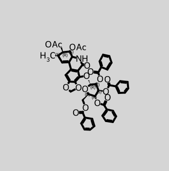 CC(=O)O[C@@H]1[C@@H](C)C=C2c3cc4c(c(O[C@H]5O[C@H](COC(=O)c6ccccc6)[C@@H](OC(=O)c6ccccc6)[C@H](OC(=O)c6ccccc6)[C@H]5OC(=O)c5ccccc5)c3C(=O)NC2[C@@H]1OC(C)=O)OCO4